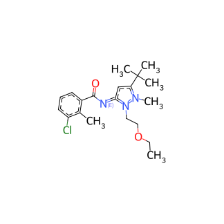 CCOCCn1/c(=N/C(=O)c2cccc(Cl)c2C)cc(C(C)(C)C)n1C